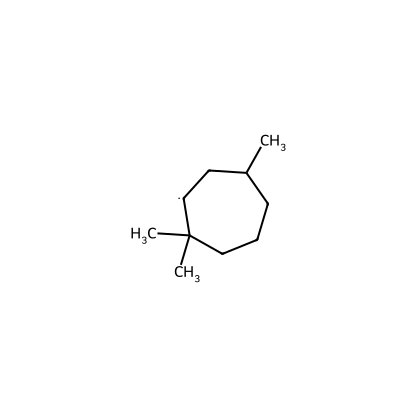 CC1C[CH]C(C)(C)CCC1